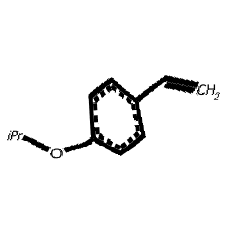 C=Cc1c[c]c(OC(C)C)cc1